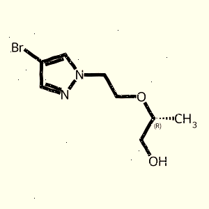 C[C@H](CO)OCCn1cc(Br)cn1